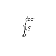 CCC#CC(=O)[O-].[K+]